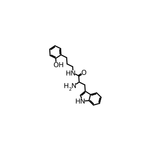 NC(Cc1c[nH]c2ccccc12)C(=O)NCCCc1ccccc1O